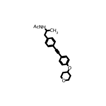 CC(=O)NC(C)Cc1ccc(C#Cc2ccc(OC3CCOCC3)cc2)cc1